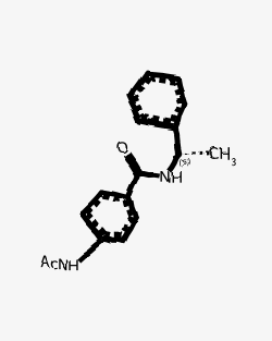 CC(=O)Nc1ccc(C(=O)N[C@@H](C)c2ccccc2)cc1